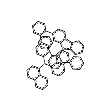 c1ccc(-c2cccc(-c3ccccc3)c2-n2c3ccccc3c3ccc(-c4ccccc4-c4ccc(N(c5cccc6ccccc56)c5cccc6ccccc56)cc4)cc32)cc1